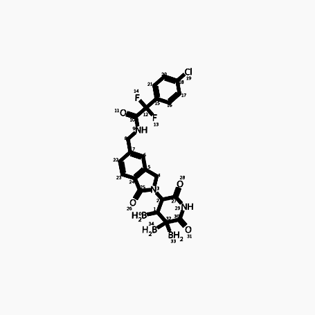 BC1C(N2Cc3cc(CNC(=O)C(F)(F)c4ccc(Cl)cc4)ccc3C2=O)C(=O)NC(=O)C1(B)B